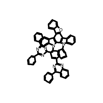 c1ccc(-c2nc(-c3ccccc3)nc(-c3cc(-c4nc(-c5ccccc5)c5ccccc5n4)ccc3-n3c4ccccc4c4c5c6ccccc6oc5c5c6ccccc6n(-c6ccccc6)c5c43)n2)cc1